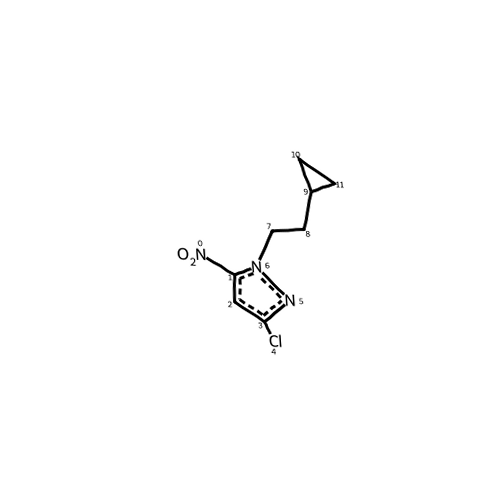 O=[N+]([O-])c1cc(Cl)nn1CCC1CC1